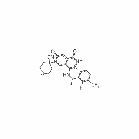 C[C@@H](Nc1nn(C)c(=O)c2cc(=O)n(C3(C#N)CCOCC3)cc12)c1cccc(C(F)(F)F)c1F